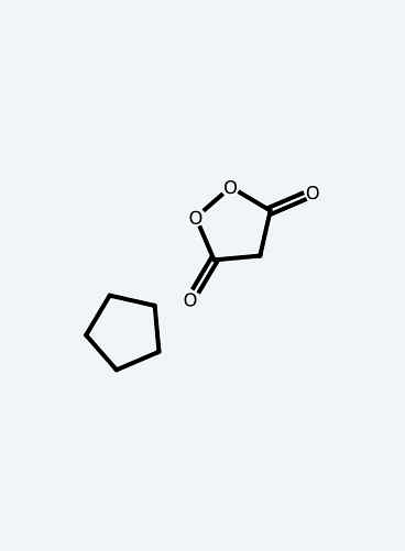 C1CCCC1.O=C1CC(=O)OO1